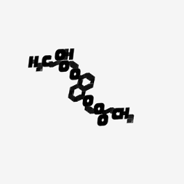 C=CC(=O)O/C=C\Oc1cccc2c(O/C=C\OC(O)C=C)cccc12